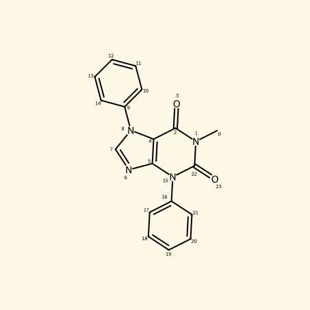 Cn1c(=O)c2c(ncn2-c2ccccc2)n(-c2ccccc2)c1=O